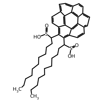 CCCCCCCCCCC(c1c(C(CCCCCCCCCC)S(=O)O)c2ccc3ccc4ccc5ccc6ccc1c1c6c5c4c3c21)S(=O)O